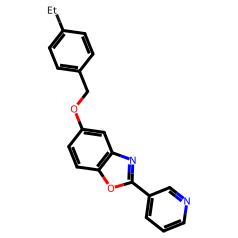 CCc1ccc(COc2ccc3oc(-c4cccnc4)nc3c2)cc1